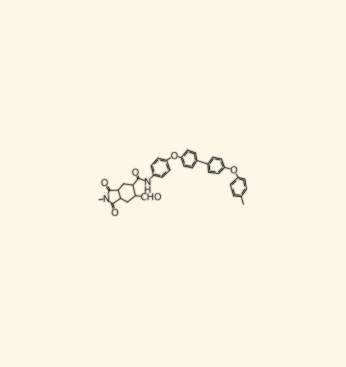 Cc1ccc(Oc2ccc(-c3ccc(Oc4ccc(NC(=O)C5CC6C(=O)N(C)C(=O)C6CC5C=O)cc4)cc3)cc2)cc1